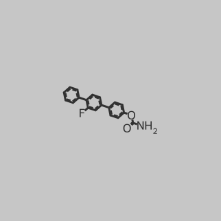 NC(=O)Oc1ccc(-c2ccc(-c3ccccc3)c(F)c2)cc1